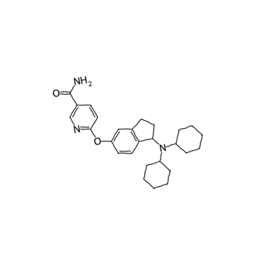 NC(=O)c1ccc(Oc2ccc3c(c2)CCC3N(C2CCCCC2)C2CCCCC2)nc1